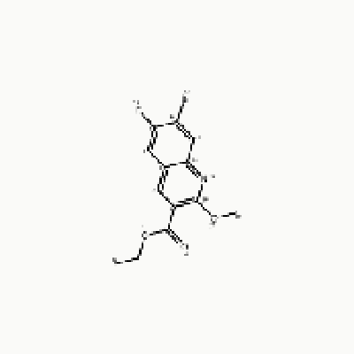 CCOC(=O)c1cc2cc(F)c(Br)cc2nc1OC